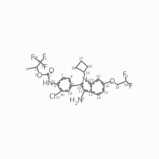 CC(OC(=O)Nc1ccc(-c2c(N)c3ccc(OCC(F)F)cc3n2C2CCC2)cc1Cl)C(F)(F)F